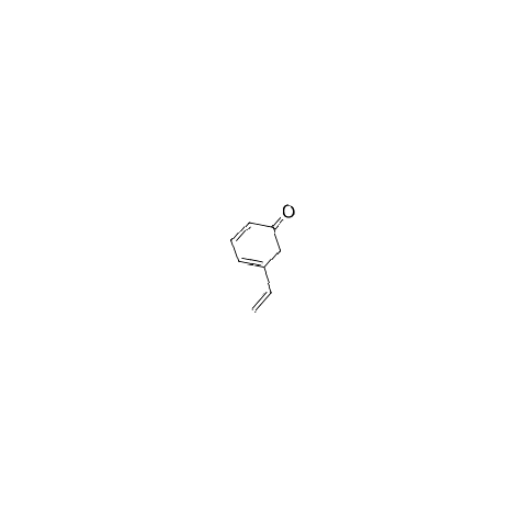 C=CC1=CC=CC(=O)C1